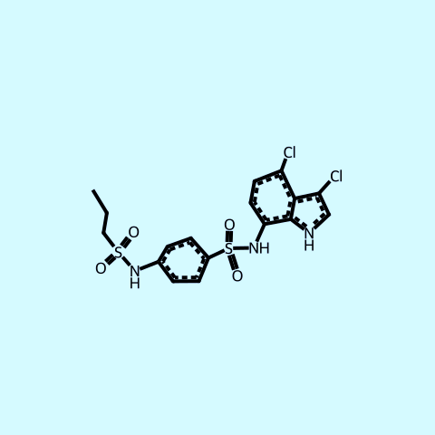 CCCS(=O)(=O)Nc1ccc(S(=O)(=O)Nc2ccc(Cl)c3c(Cl)c[nH]c23)cc1